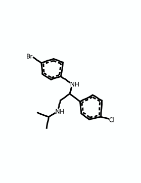 CC(C)NCC(Nc1ccc(Br)cc1)c1ccc(Cl)cc1